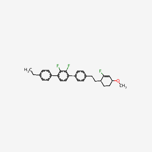 CCc1ccc(-c2ccc(-c3ccc(CCC4CCC(OC)C=C4F)cc3)c(F)c2F)cc1